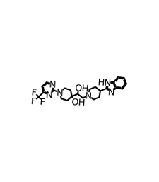 OC(CN1CCC(c2nc3ccccc3[nH]2)CC1)C1(O)CCN(c2nccc(C(F)(F)F)n2)CC1